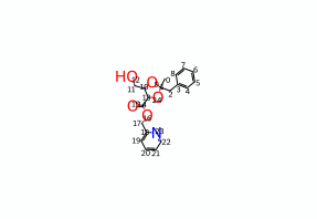 CC1(Cc2ccccc2)OC(CO)C(C(=O)OCc2ccccn2)O1